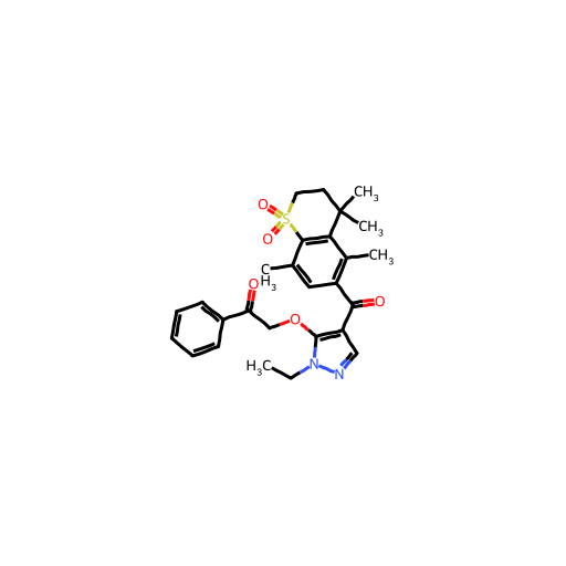 CCn1ncc(C(=O)c2cc(C)c3c(c2C)C(C)(C)CCS3(=O)=O)c1OCC(=O)c1ccccc1